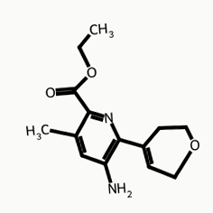 CCOC(=O)c1nc(C2=CCOCC2)c(N)cc1C